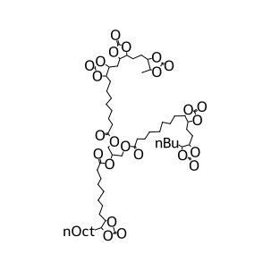 CCCCCCCCC1OC(=O)OC1CCCCCCCC(=O)OC(COC(=O)CCCCCCCC1OC(=O)OC1CCC1OC(=O)OC1CCCC)COC(=O)CCCCCCCC1OC(=O)OC1CC1OC(=O)OC1CCC1OC(=O)OC1C